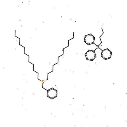 CCCCCCCCCCCC[S+](CCCCCCCCCCCC)Cc1ccccc1.CCCC[B-](c1ccccc1)(c1ccccc1)c1ccccc1